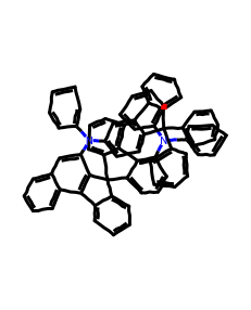 c1ccc(N(c2ccccc2)c2cccc3c2-c2ccccc2C32c3ccccc3-c3c2c(N(c2ccccc2)c2ccc4c(c2)-c2ccccc2C4(c2ccccc2)c2ccccc2)cc2ccccc32)cc1